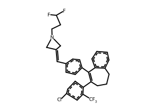 FC(F)CCN1CC(=Cc2ccc(C3=C(c4ccc(Cl)cc4C(F)(F)F)CCCc4ccccc43)cc2)C1